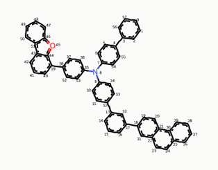 c1ccc(-c2ccc(N(c3ccc(-c4cccc(-c5ccc6c(ccc7ccccc76)c5)c4)cc3)c3ccc(-c4cccc5c4oc4ccccc45)cc3)cc2)cc1